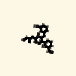 O=CNCC(=O)NC(Cc1cccc(O)c1)C(=O)N1CCCC(C=O)N1